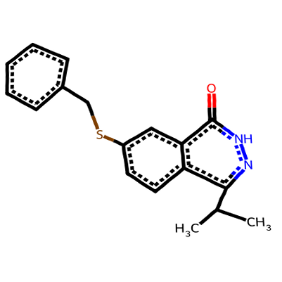 CC(C)c1n[nH]c(=O)c2cc(SCc3ccccc3)ccc12